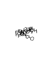 Nc1ccccc1CN(CC(=O)N(Cc1ccc(C2CCCCC2)cc1)c1ccc(C(=O)O)c(O)c1)S(=O)(=O)c1c(F)c(F)c(F)c(F)c1F